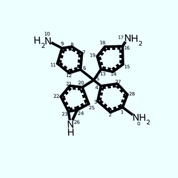 Nc1ccc(C(c2ccc(N)cc2)(c2ccc(N)cc2)c2ccc3c(c2)N3)cc1